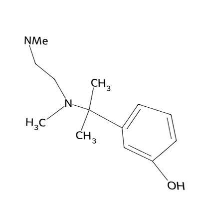 CNCCN(C)C(C)(C)c1cccc(O)c1